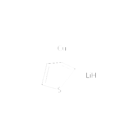 [Cu].[LiH].[c]1cccs1